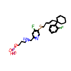 O=[PH](O)OCCCNCc1cc(F)c(SCCCCC2(c3ccccc3F)CCCCC2)cn1